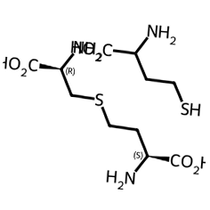 NC(CCS)C(=O)O.N[C@@H](CCSC[C@H](N)C(=O)O)C(=O)O